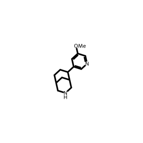 COc1cncc(C2CCC3CNCC2C3)c1